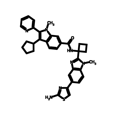 Cn1c(C2(NC(=O)c3ccc4c(C5CCCC5)c(-c5ccccn5)n(C)c4c3)CCC2)nc2cc(-c3csc(N)n3)ccc21